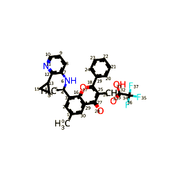 Cc1cc([C@@H](C)Nc2cccnc2C2CC2)c2oc(-c3ccccc3)c(C)c(=O)c2c1.O=C(O)C(F)(F)F